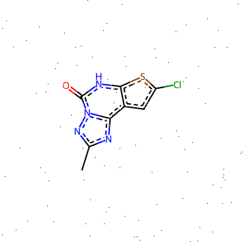 Cc1nc2c3cc(Cl)sc3[nH]c(=O)n2n1